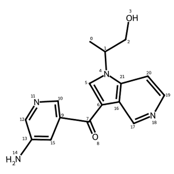 CC(CO)n1cc(C(=O)c2cncc(N)c2)c2cnccc21